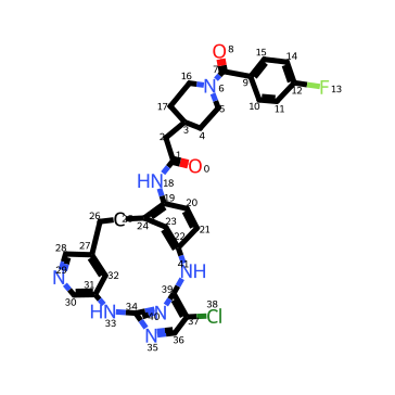 O=C(CC1CCN(C(=O)c2ccc(F)cc2)CC1)Nc1ccc2cc1CCc1cncc(c1)Nc1ncc(Cl)c(n1)N2